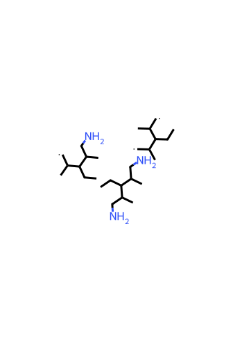 CCC(C(C)CN)C(C)CN.[CH2]C(C)C(CC)C(C)CN.[CH2]C(C)C(CC)C([CH2])C